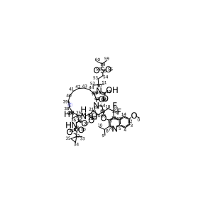 COc1ccc2nc(C(C)C)c3c(c2c1)C(F)(F)C[C@]1(C[C@H]2C(=O)N[C@]4(C(=O)NS(=O)(=O)C5(C)CC5)C[C@H]4/C=C\CCCCC[C@H](N(C(=O)O)C(C)(C)CCS(=O)(=O)C(C)C)C(=O)N2C1)O3